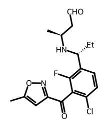 CC[C@@H](N[C@@H](C)CC=O)c1ccc(Cl)c(C(=O)c2cc(C)on2)c1F